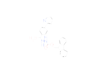 BC(NNC(=O)OCC1c2ccccc2-c2ccccc21)c1ccc(-c2ccccn2)cc1